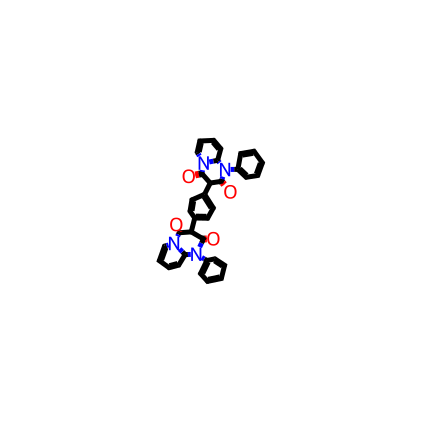 O=C1C(c2ccc(C3C(=O)N4C=CC=CC4N(c4ccccc4)C3=O)cc2)C(=O)N(c2ccccc2)C2C=CC=CN12